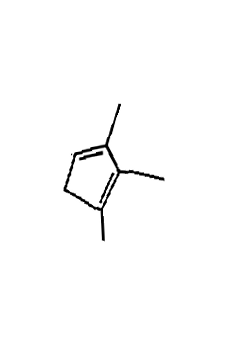 CC1=[C]CC(C)=C1C